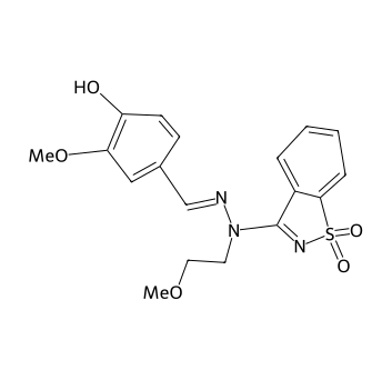 COCCN(N=Cc1ccc(O)c(OC)c1)C1=NS(=O)(=O)c2ccccc21